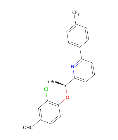 CCCC[C@H](Oc1ccc(C=O)cc1Cl)c1cccc(-c2ccc(C(F)(F)F)cc2)n1